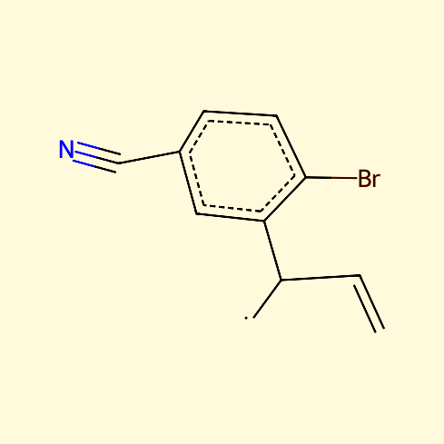 [CH2]C(C=C)c1cc(C#N)ccc1Br